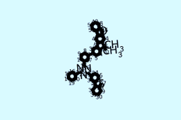 CC1(C)c2ccc(-c3cccc(-c4nc(-c5ccccc5)nc(-c5ccc6sc7ccccc7c6c5)n4)c3)cc2-c2cc3c(cc21)oc1ccccc13